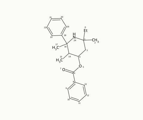 CCC1(C)CC(OC(=O)c2ccccc2)C(C)C(C)(c2ccccc2)N1